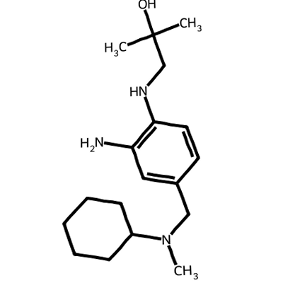 CN(Cc1ccc(NCC(C)(C)O)c(N)c1)C1CCCCC1